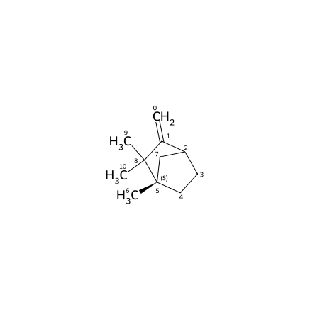 C=C1C2CC[C@@](C)(C2)C1(C)C